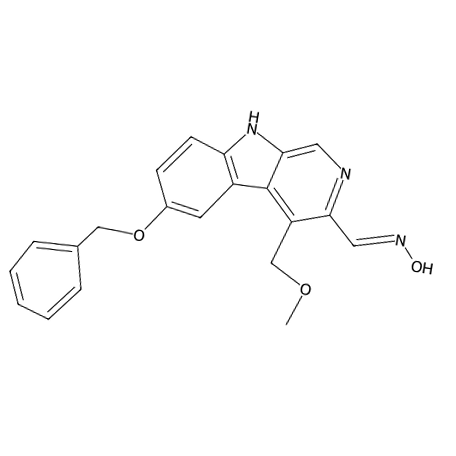 COCc1c(C=NO)ncc2[nH]c3ccc(OCc4ccccc4)cc3c12